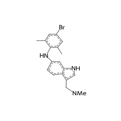 CNCc1c[nH]c2cc(Nc3c(C)cc(Br)cc3C)ccc12